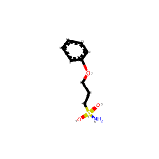 NS(=O)(=O)CCCOc1ccccc1